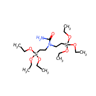 CCO[Si](CCN(CC[Si](OCC)(OCC)OCC)C(N)=O)(OCC)OCC